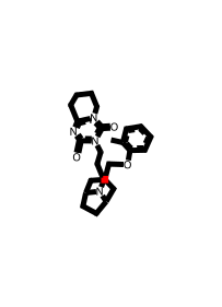 Cc1ccccc1OCC1CC2CCC(C1)N2CCCn1c(=O)nc2n(c1=O)CCCC2